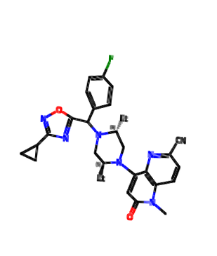 CC[C@H]1CN(C(c2ccc(F)cc2)c2nc(C3CC3)no2)[C@H](CC)CN1c1cc(=O)n(C)c2ccc(C#N)nc12